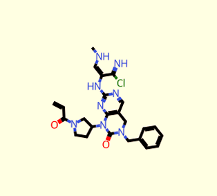 C=CC(=O)N1CCC(N2C(=O)N(Cc3ccccc3)Cc3cnc(N/C(=C/NC)C(=N)Cl)nc32)C1